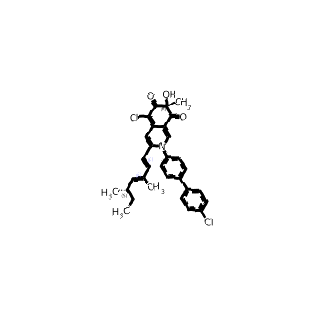 CC[C@H](C)/C=C(C)/C=C/C1=CC2=C(Cl)C(=O)[C@](C)(O)C(=O)C2=CN1c1ccc(-c2ccc(Cl)cc2)cc1